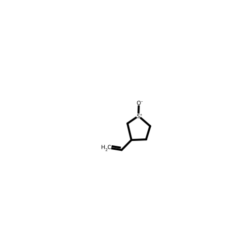 C=CC1CC[S+]([O-])C1